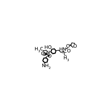 CC(C)CN(c1ccc(CC[C@H](C)NC(=O)O[C@H]2CCOC2)cc1O)S(=O)(=O)c1ccc(N)cc1